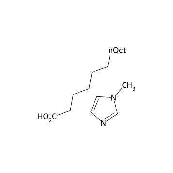 CCCCCCCCCCCCCC(=O)O.Cn1ccnc1